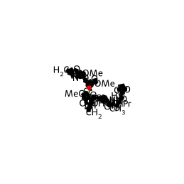 C=C1CC2C=Nc3cc(OCc4cc(COc5cc6c(cc5OC)C(=O)N5CC(=C)C[C@H]5[C@H](O)N6C(=O)OCc5ccc(NC(=O)[C@H](C)NC(=O)[C@@H](NC(=O)CCN6C(=O)C=CC6=O)C(C)C)cc5)cc(C(=O)OC)c4)c(OC)cc3C(=O)N2C1